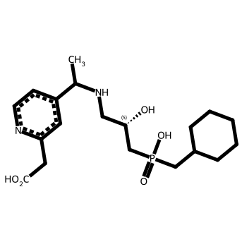 CC(NC[C@H](O)CP(=O)(O)CC1CCCCC1)c1ccnc(CC(=O)O)c1